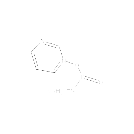 O=[PH](O)O[n+]1cccnc1.[CaH2]